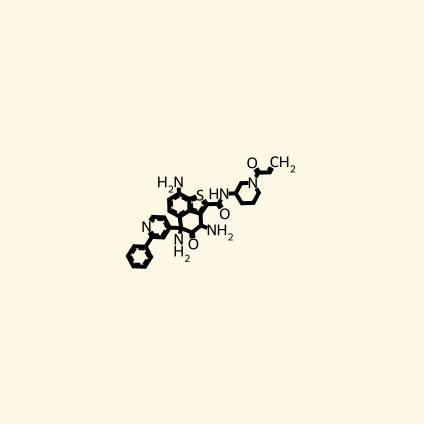 C=CC(=O)N1CCCC(NC(=O)c2sc3c(N)ccc4c3c2C(N)C(=O)C4(N)c2ccnc(-c3ccccc3)c2)C1